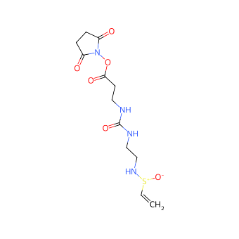 C=C[S+]([O-])NCCNC(=O)NCCC(=O)ON1C(=O)CCC1=O